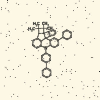 CC1(C)C2c3cccc4c3C3(c5cc(-c6ccccc6)ccc5N4c4ccc(-c5ccccc5)cc4)c4ccccc4C23C1(C)C